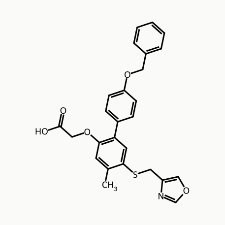 Cc1cc(OCC(=O)O)c(-c2ccc(OCc3ccccc3)cc2)cc1SCc1cocn1